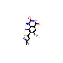 O=c1[nH]c(=O)c2cc(C(F)(F)F)c(-c3cc(C(F)(F)F)ns3)c(I)c2[nH]1